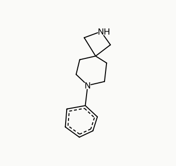 c1ccc(N2CCC3(CC2)CNC3)cc1